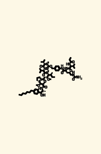 CCCCCCCc1ccc([C@H](O)[C@@H](C)NC(=O)[C@H](C)[C@@H](OC)[C@@H]2CCCN2C(=O)C[C@@H](OC)[C@H]([C@@H](C)CC)N(C)C(=O)[C@@H](NC(=O)[C@H](C(C)C)N(C)C(=O)OCc2ccc(NC(=O)[C@H](CCCNC(N)=O)NC(=O)[C@@H](NC(=O)CC)C(C)C)cc2)C(C)C)cc1